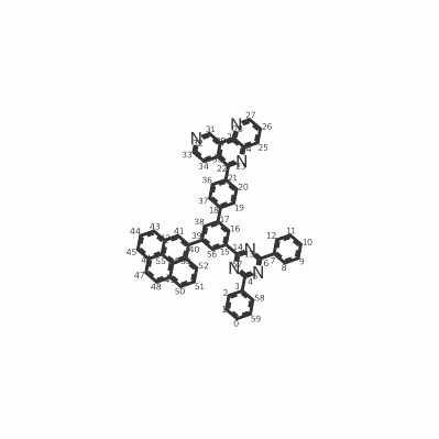 c1ccc(-c2nc(-c3ccccc3)nc(-c3cc(-c4ccc(-c5nc6cccnc6c6cnccc56)cc4)cc(-c4cc5cccc6ccc7cccc4c7c65)c3)n2)cc1